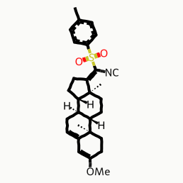 [C-]#[N+]C(=C1CC[C@H]2[C@@H]3CC=C4C=C(OC)CC[C@]4(C)[C@H]3CC[C@]12C)S(=O)(=O)c1ccc(C)cc1